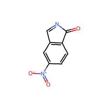 O=C1N=Cc2cc([N+](=O)[O-])ccc21